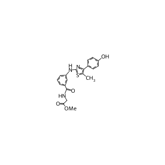 COC(=O)CNC(=O)c1cccc(Nc2nc(-c3ccc(O)cc3)c(C)s2)c1